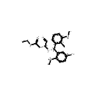 CCOC(=O)C[C@H](C=O)O[C@@H](c1cc(F)ccc1NC)c1cccc(OC)c1C